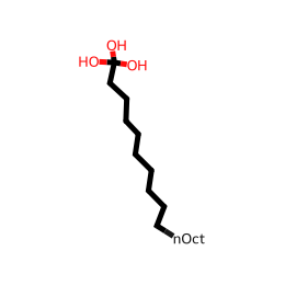 CCCCCCCCCCCCCCCCCC(O)(O)O